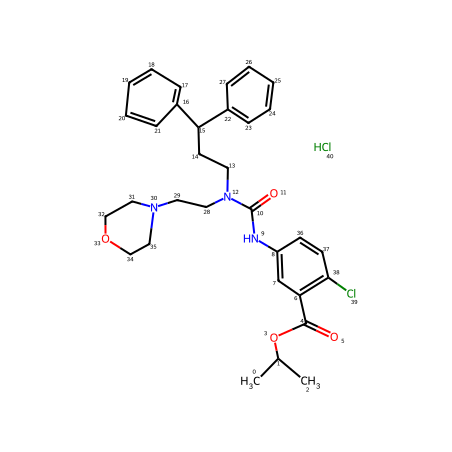 CC(C)OC(=O)c1cc(NC(=O)N(CCC(c2ccccc2)c2ccccc2)CCN2CCOCC2)ccc1Cl.Cl